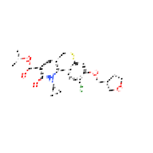 CC(C)OC(=O)c1cc2c(n(C3CC3)c1=O)-c1cc(Cl)c(OCC3CCOC3)cc1SC2